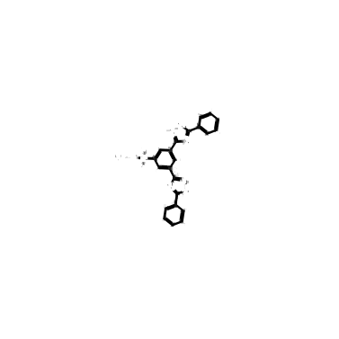 COS(=O)(=O)c1cc(-c2n[nH]c(-c3ccccc3)n2)cc(-c2n[nH]c(-c3ccccc3)n2)c1